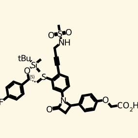 CC(C)(C)[Si](C)(C)O[C@H](CSc1cc(N2C(=O)CC2c2ccc(OCC(=O)O)cc2)ccc1C#CCNS(C)(=O)=O)c1ccc(F)cc1